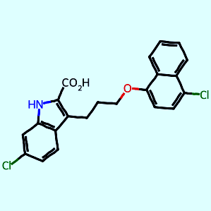 O=C(O)c1[nH]c2cc(Cl)ccc2c1CCCOc1ccc(Cl)c2ccccc12